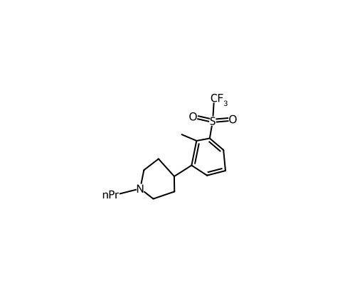 CCCN1CCC(c2cccc(S(=O)(=O)C(F)(F)F)c2C)CC1